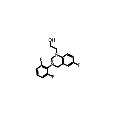 OCCN1CN(c2c(F)cccc2F)Cc2cc(F)ccc21